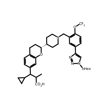 CCCCCCn1cc(-c2ccc(OC(F)(F)F)c(CN3CCC([C@H]4CCc5ccc(C(C6CC6)C(C)C(=O)O)cc5O4)CC3)c2)nn1